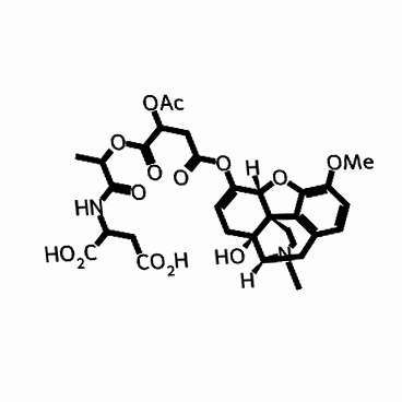 COc1ccc2c3c1O[C@H]1C(OC(=O)CC(OC(C)=O)C(=O)OC(C)C(=O)NC(CC(=O)O)C(=O)O)=CC[C@@]4(O)[C@@H](C2)N(C)CC[C@]314